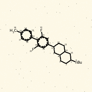 CCCCC1CCC2CC(c3cc(F)c(-c4ccc(C)cc4)c(F)c3)CCC2C1